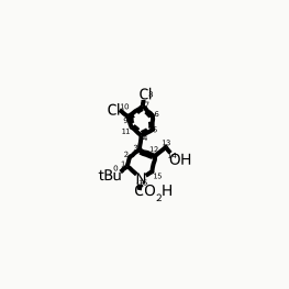 CC(C)(C)C1CC(c2ccc(Cl)c(Cl)c2)=C(CO)CN1C(=O)O